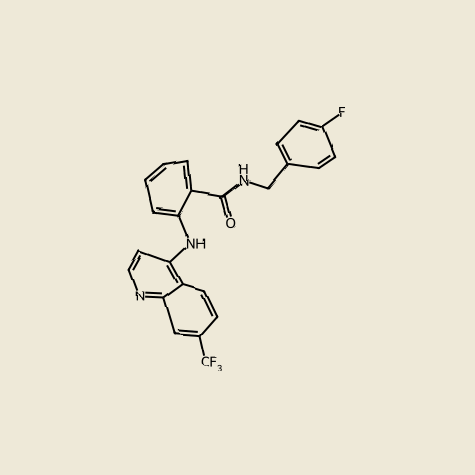 O=C(NCc1ccc(F)cc1)c1ccccc1Nc1ccnc2cc(C(F)(F)F)ccc12